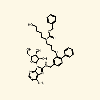 Nc1ncnc2c1nc(NCc1ccc(-c3ccccc3)c(OCCCN(CCCCO)C(=O)OCc3ccccc3)c1)n2[C@@H]1O[C@H](CO)[C@@H](O)[C@H]1O